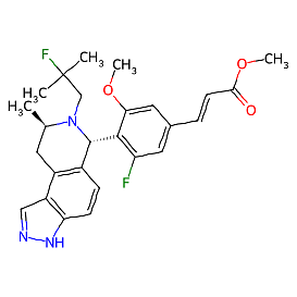 COC(=O)/C=C/c1cc(F)c([C@@H]2c3ccc4[nH]ncc4c3C[C@@H](C)N2CC(C)(C)F)c(OC)c1